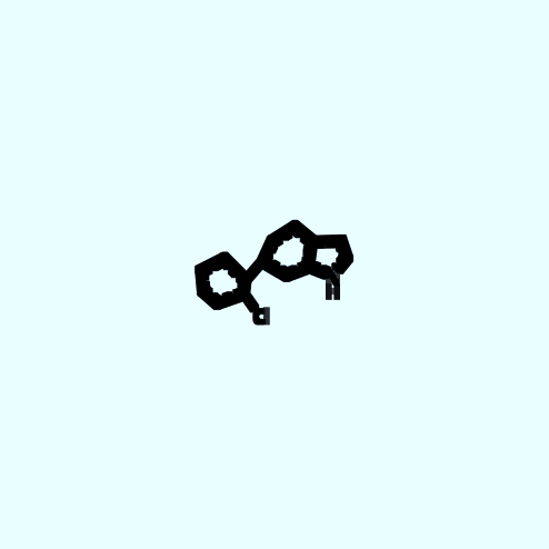 Clc1ccccc1-c1ccc2cc[nH]c2c1